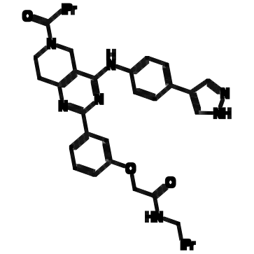 CC(C)CNC(=O)COc1cccc(-c2nc3c(c(Nc4ccc(-c5cn[nH]c5)cc4)n2)CN(C(=O)C(C)C)CC3)c1